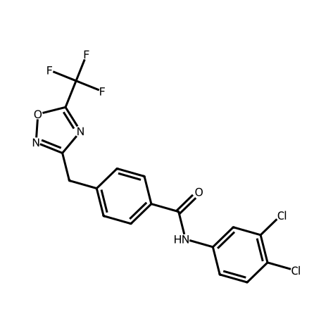 O=C(Nc1ccc(Cl)c(Cl)c1)c1ccc(Cc2noc(C(F)(F)F)n2)cc1